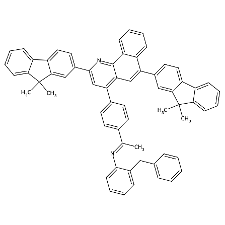 C/C(=N\c1ccccc1Cc1ccccc1)c1ccc(-c2cc(-c3ccc4c(c3)C(C)(C)c3ccccc3-4)nc3c2cc(-c2ccc4c(c2)C(C)(C)c2ccccc2-4)c2ccccc23)cc1